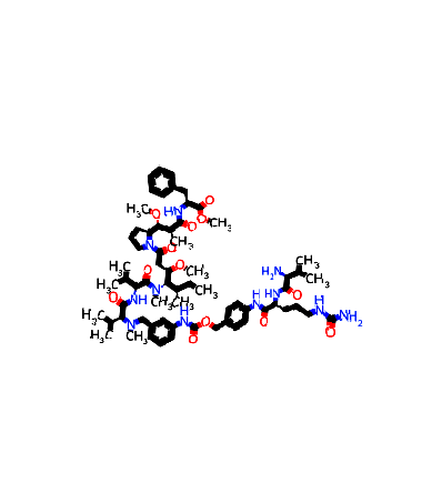 CC[C@H](C)[C@@H]([C@@H](CC(=O)N1CCC[C@H]1[C@H](OC)[C@@H](C)C(=O)N[C@@H](Cc1ccccc1)C(=O)OC)OC)N(C)C(=O)[C@@H](NC(=O)[C@H](C(C)C)N(C)Cc1cccc(NC(=O)OCc2ccc(NC(=O)[C@H](CCCNC(N)=O)NC(=O)[C@@H](N)C(C)C)cc2)c1)C(C)C